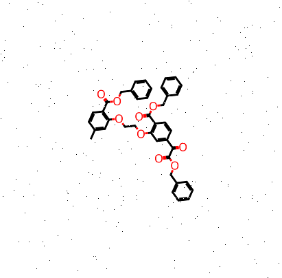 Cc1ccc(C(=O)OCc2ccccc2)c(OCCOc2cc(C(=O)C(=O)OCc3ccccc3)ccc2C(=O)OCc2ccccc2)c1